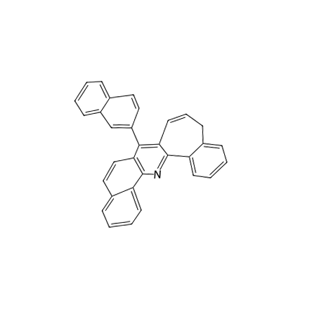 C1=Cc2c(nc3c(ccc4ccccc43)c2-c2ccc3ccccc3c2)-c2ccccc2C1